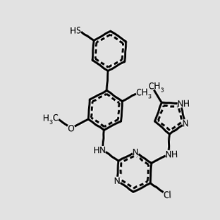 COc1cc(-c2cccc(S)c2)c(C)cc1Nc1ncc(Cl)c(Nc2cc(C)[nH]n2)n1